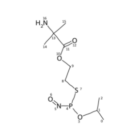 CC(C)OP(N=O)SCCOC(=O)C(C)(C)N